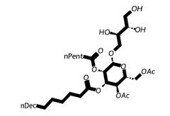 CCCCCCCCCCCCCCCC(=O)O[C@@H]1[C@H](OC(=O)CCCCC)[C@H](OC[C@@H](O)[C@@H](O)CO)O[C@H](COC(C)=O)[C@H]1OC(C)=O